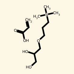 C=CC(=O)O.C[Si](C)(C)CCCOCC(O)CO